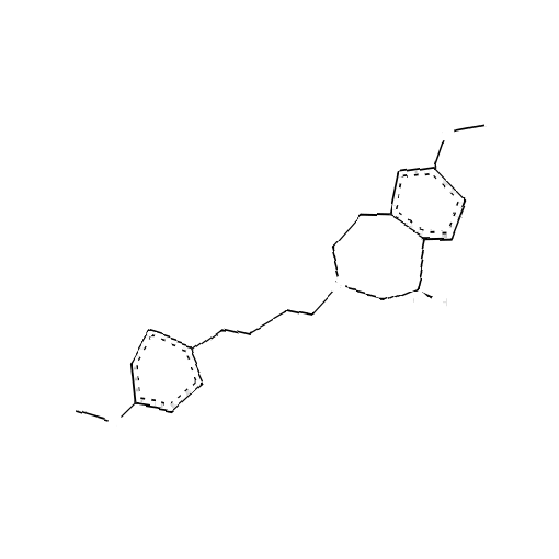 COc1ccc2c(c1)CCN(CCCCc1ccc(SC)cc1)C[C@@H]2O